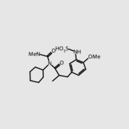 CNC(=O)N(C(=O)C(C)Cc1ccc(OC)c(NS(=O)(=O)O)c1)C1CCCCC1